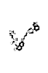 COCCNC(=O)OCn1c(=O)ccc2ccc(OCCCCN3CCN(c4cccc5sccc45)CC3)cc21